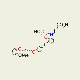 COc1ccccc1OCCCCOc1ccc(/C=C/c2cccc3c2OC(C(=O)O)CN3CCCC(=O)O)cc1